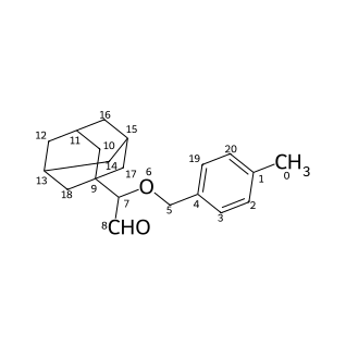 Cc1ccc(COC(C=O)C23CC4CC(CC(C4)C2)C3)cc1